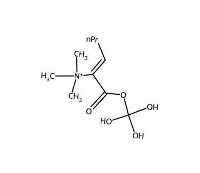 CCCC=C(C(=O)OC(O)(O)O)[N+](C)(C)C